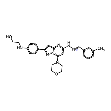 Cc1cccc(/C=N/Nc2cc(N3CCOCC3)n3nc(-c4ccc(NCCO)cc4)cc3n2)c1